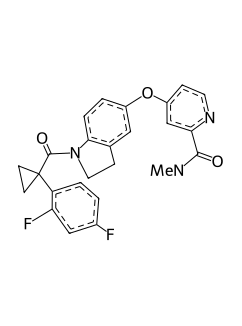 CNC(=O)c1cc(Oc2ccc3c(c2)CCN3C(=O)C2(c3ccc(F)cc3F)CC2)ccn1